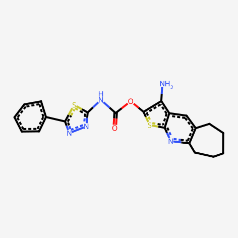 Nc1c(OC(=O)Nc2nnc(-c3ccccc3)s2)sc2nc3c(cc12)CCCCC3